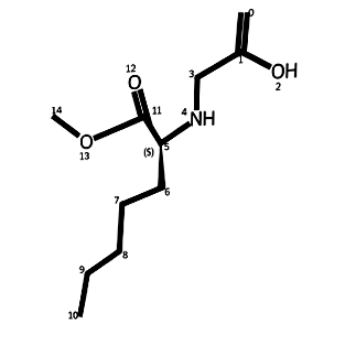 C=C(O)CN[C@@H](CCCCC)C(=O)OC